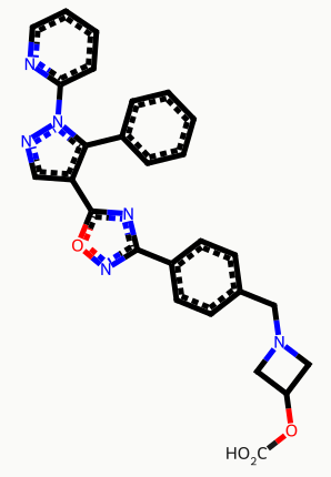 O=C(O)OC1CN(Cc2ccc(-c3noc(-c4cnn(-c5ccccn5)c4-c4ccccc4)n3)cc2)C1